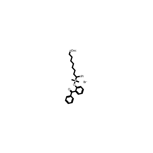 CCCCCCCCCCCCCCCCCC(CCC)[N+](C)(C)Oc1ccccc1C(=O)c1ccccc1.[Br-]